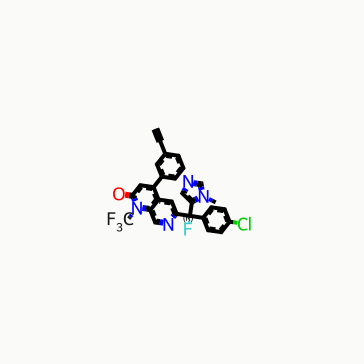 C#Cc1cccc(-c2cc(=O)n(C(F)(F)F)c3cnc([C@](F)(c4ccc(Cl)cc4)c4cncn4C)cc23)c1